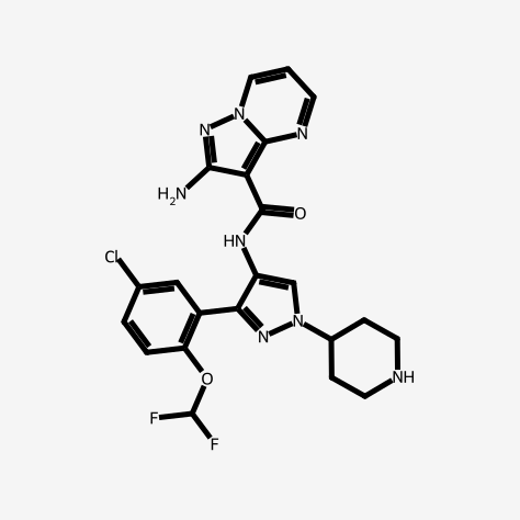 Nc1nn2cccnc2c1C(=O)Nc1cn(C2CCNCC2)nc1-c1cc(Cl)ccc1OC(F)F